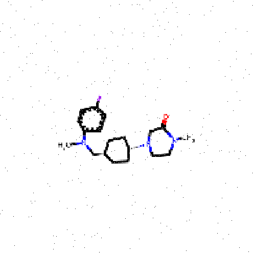 CN1CCN([C@H]2CC[C@H](CN(C)c3ccc(I)cc3)CC2)CC1=O